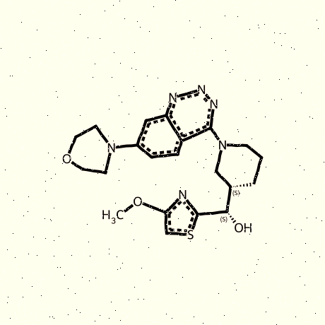 COc1csc([C@@H](O)[C@H]2CCCN(c3nnnc4cc(N5CCOCC5)ccc34)C2)n1